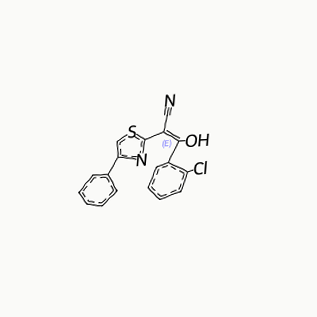 N#C/C(=C(\O)c1ccccc1Cl)c1nc(-c2ccccc2)cs1